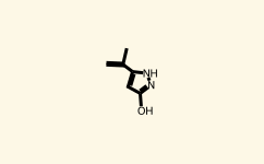 C=C(C)c1cc(O)n[nH]1